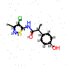 Cc1nsc(NC(=O)C(C)c2ccc(O)cc2)c1Cl